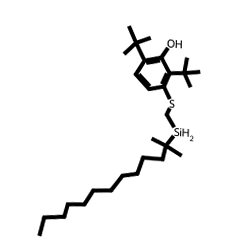 CCCCCCCCCCCC(C)(C)[SiH2]CSc1ccc(C(C)(C)C)c(O)c1C(C)(C)C